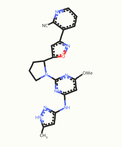 COc1cc(Nc2cc(C)[nH]n2)nc(N2CCCC2c2cc(-c3cccnc3C#N)no2)n1